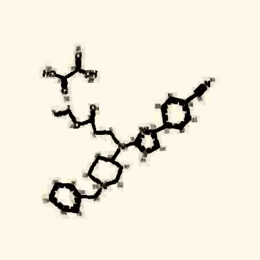 CCOC(=O)CCN(c1nc(-c2ccc(C#N)cc2)cs1)C1CCN(Cc2ccccc2)CC1.O=C(O)C(=O)O